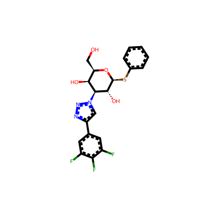 OC[C@H]1O[C@@H](Sc2ccccc2)[C@H](O)[C@@H](n2cc(-c3cc(F)c(F)c(F)c3)nn2)[C@H]1O